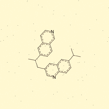 CC(C)c1ccc2ncc(CC(C)c3ccc4cnccc4c3)cc2c1